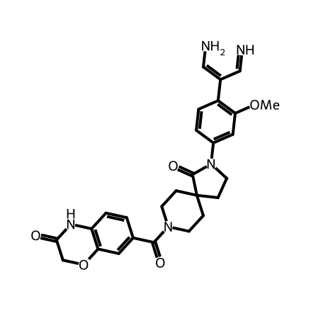 COc1cc(N2CCC3(CCN(C(=O)c4ccc5c(c4)OCC(=O)N5)CC3)C2=O)ccc1/C(C=N)=C/N